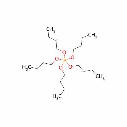 CCCCOP(OCCCC)(OCCCC)(OCCCC)OCCCC